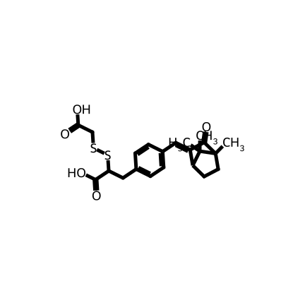 CC12CCC(C(=Cc3ccc(CC(SSCC(=O)O)C(=O)O)cc3)C1=O)C2(C)C